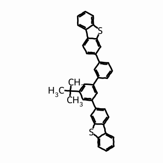 CC(C)(C)c1cc(-c2cccc(-c3ccc4c(c3)sc3ccccc34)c2)cc(-c2ccc3c(c2)sc2ccccc23)c1